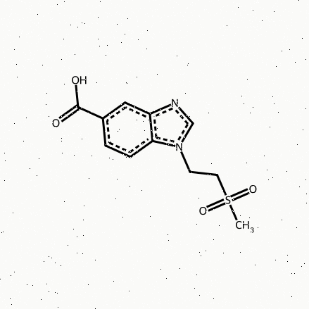 CS(=O)(=O)CCn1cnc2cc(C(=O)O)ccc21